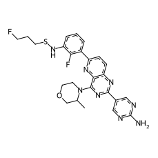 CC1COCCN1c1nc(-c2cnc(N)nc2)nc2ccc(-c3cccc(NSCCCF)c3F)nc12